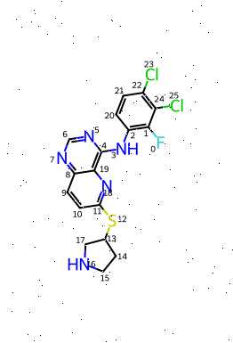 Fc1c(Nc2ncnc3ccc(SC4CCNC4)nc23)ccc(Cl)c1Cl